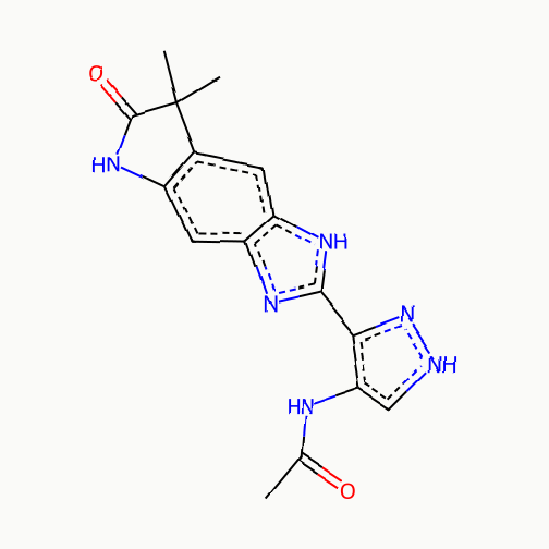 CC(=O)Nc1c[nH]nc1-c1nc2cc3c(cc2[nH]1)C(C)(C)C(=O)N3